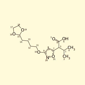 CC(C)C(C(=O)O)c1cc(OCCCCC2OCCO2)no1